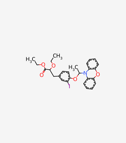 CCOC(=O)C(Cc1ccc(OC(C)N2c3ccccc3Oc3ccccc32)c(I)c1)OCC